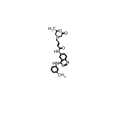 Cc1cccc(Nc2ncnc3ccc(NC(=O)C=CCN4CC(=O)O[C@H](C)C4)cc23)c1